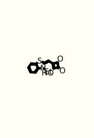 CCN1/C(=C\c2c(O)c(=O)c2=O)Sc2ccccc21